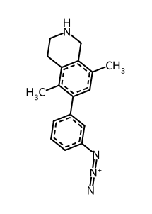 Cc1cc(-c2cccc(N=[N+]=[N-])c2)c(C)c2c1CNCC2